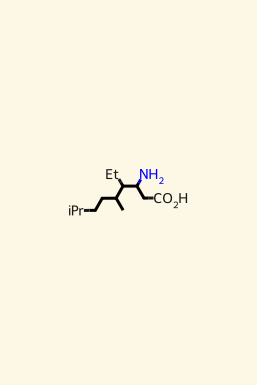 CCC(C(C)CCC(C)C)C(N)CC(=O)O